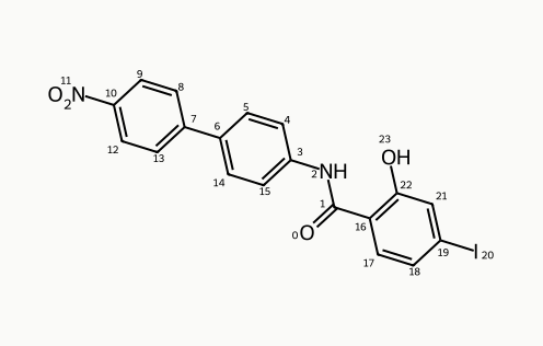 O=C(Nc1ccc(-c2ccc([N+](=O)[O-])cc2)cc1)c1ccc(I)cc1O